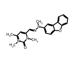 Cc1cc(C=NN(C)c2ccc3oc4ccccc4c3c2)n(C)c(=O)[n+]1C